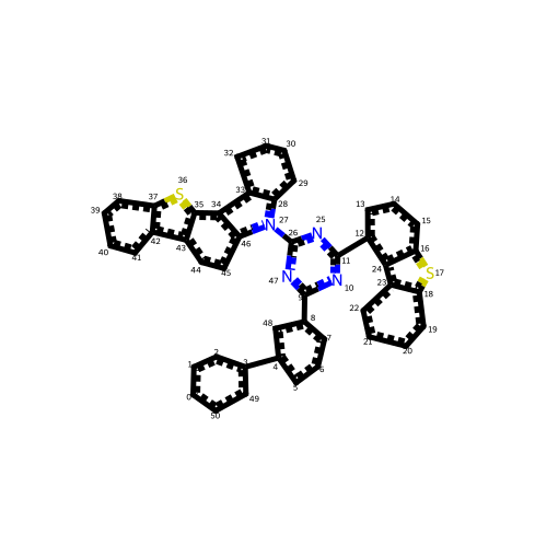 c1ccc(-c2cccc(-c3nc(-c4cccc5sc6ccccc6c45)nc(-n4c5ccccc5c5c6sc7ccccc7c6ccc54)n3)c2)cc1